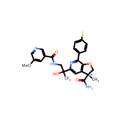 COc1cncc(C(=O)NCC(O)(c2cc3c(c(-c4ccc(F)cc4)n2)OC[C@]3(C)C(N)=O)C(F)(F)F)c1